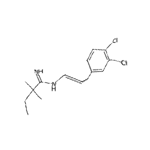 CCC(C)(C)C(=N)N/C=C/c1ccc(Cl)c(Cl)c1